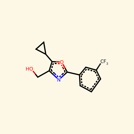 OCc1nc(-c2cccc(C(F)(F)F)c2)oc1C1CC1